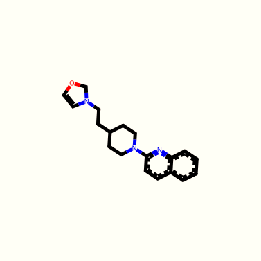 C1=CN(CCC2CCN(c3ccc4ccccc4n3)CC2)CO1